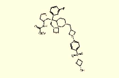 COC(=O)N[C@H]1CCC[C@@H]1[C@](CN1CCC1)(c1cccc(F)c1)C1CCN(CC2CN(c3ccc(S(=O)(=O)[C@H]4C[C@@H](O)C4)cc3)C2)CC1